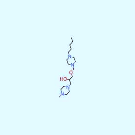 CCCCCN1CCN(COCC(O)CN2CCN(C)CC2)CC1